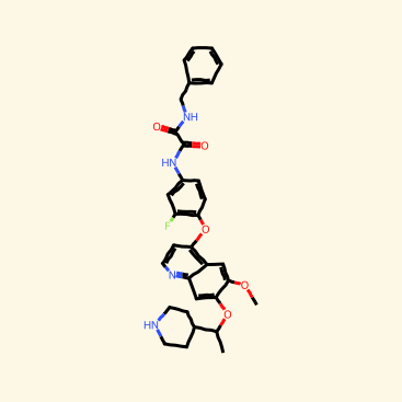 COc1cc2c(Oc3ccc(NC(=O)C(=O)NCc4ccccc4)cc3F)ccnc2cc1OC(C)C1CCNCC1